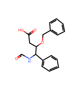 O=CNC(c1ccccc1)C(CC(=O)O)OCc1ccccc1